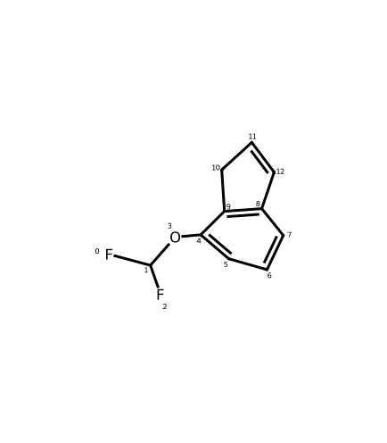 FC(F)Oc1cccc2c1CC=C2